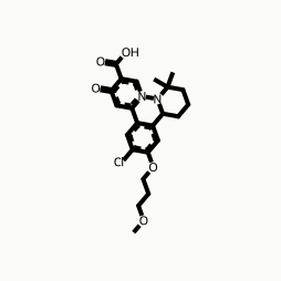 COCCCOc1cc2c(cc1Cl)-c1cc(=O)c(C(=O)O)cn1N1C2CCCC1(C)C